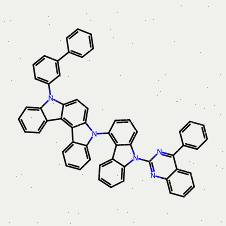 c1ccc(-c2cccc(-n3c4ccccc4c4c5c6ccccc6n(-c6cccc7c6c6ccccc6n7-c6nc(-c7ccccc7)c7ccccc7n6)c5ccc43)c2)cc1